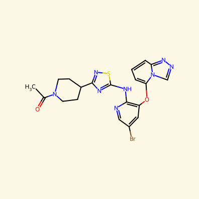 CC(=O)N1CCC(c2nsc(Nc3ncc(Br)cc3Oc3cccc4nncn34)n2)CC1